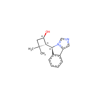 CC1(C)C[C@@H](O)[C@@H]1[C@@H]1c2ccccc2-c2cncn21